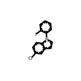 Clc1ccc2c(ccn2-c2ccccc2I)c1